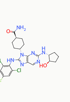 NC(=O)[C@H]1CC[C@H](n2c(Nc3c(Cl)cc(F)cc3Cl)nc3cnc(N[C@@H]4CCC[C@H]4O)nc32)CC1